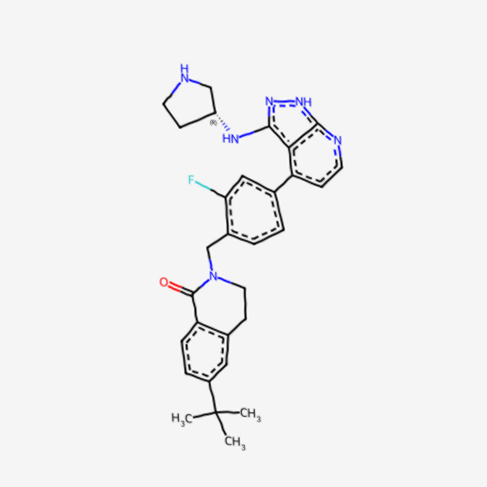 CC(C)(C)c1ccc2c(c1)CCN(Cc1ccc(-c3ccnc4[nH]nc(N[C@@H]5CCNC5)c34)cc1F)C2=O